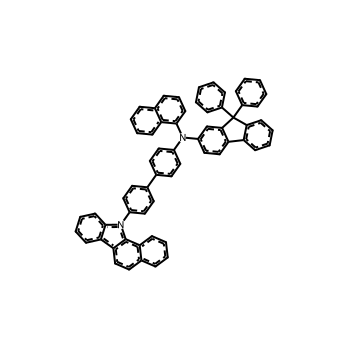 c1ccc(C2(c3ccccc3)c3ccccc3-c3ccc(N(c4ccc(-c5ccc(-n6c7ccccc7c7ccc8ccccc8c76)cc5)cc4)c4cccc5ccccc45)cc32)cc1